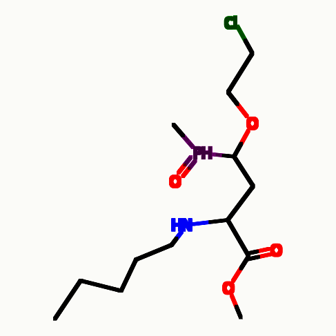 CCCCCNC(CC(OCCCl)[PH](C)=O)C(=O)OC